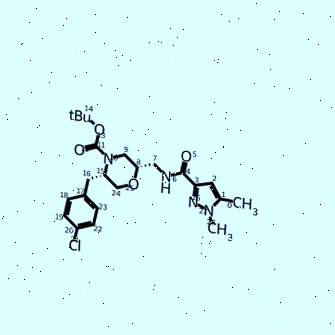 Cc1cc(C(=O)NC[C@H]2CN(C(=O)OC(C)(C)C)[C@@H](Cc3ccc(Cl)cc3)CO2)nn1C